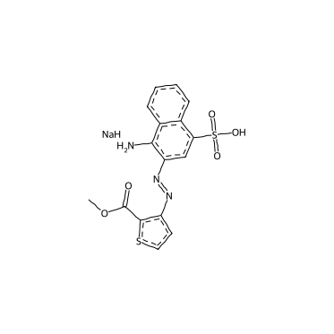 COC(=O)c1sccc1N=Nc1cc(S(=O)(=O)O)c2ccccc2c1N.[NaH]